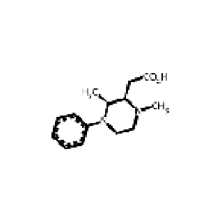 C[C@H]1[C@@H](CC(=O)O)N(C)CCN1c1ccccc1